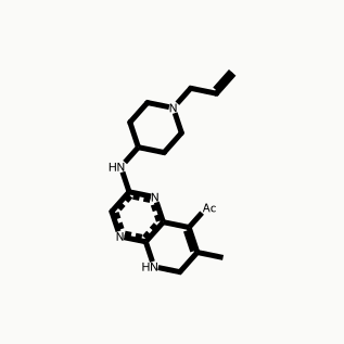 C=CCN1CCC(Nc2cnc3c(n2)C(C(C)=O)=C(C)CN3)CC1